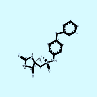 C[C@@]1(CS(=O)(=O)Nc2ccc(Cc3ccccc3)cc2)NC(=O)NC1=O